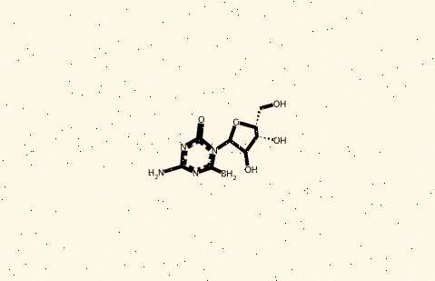 Bc1nc(N)nc(=O)n1C1O[C@H](CO)[C@H](O)C1O